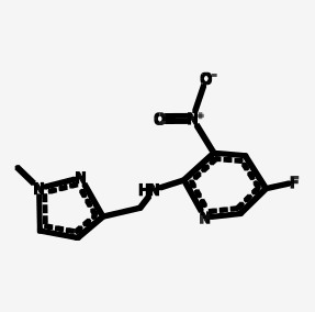 Cn1ccc(CNc2ncc(F)cc2[N+](=O)[O-])n1